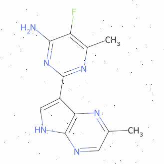 Cc1cnc2[nH]cc(-c3nc(C)c(F)c(N)n3)c2n1